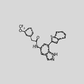 O=C(Cc1cccc(OC(F)(F)F)c1)Nc1cc(-c2cc3ccccc3s2)c2[nH]ncc2c1